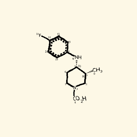 C[C@@H]1CN(C(=O)O)CC[C@@H]1Nc1ccc(F)cc1